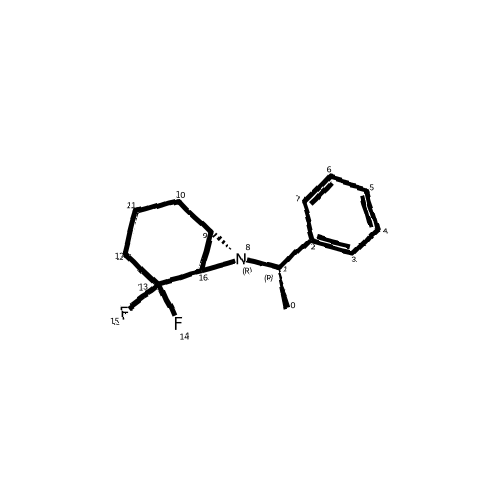 C[C@H](c1ccccc1)[N@@]1C2CCCC(F)(F)C21